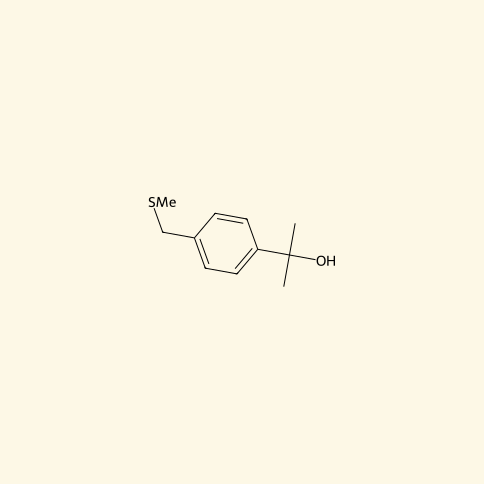 CSCc1ccc(C(C)(C)O)cc1